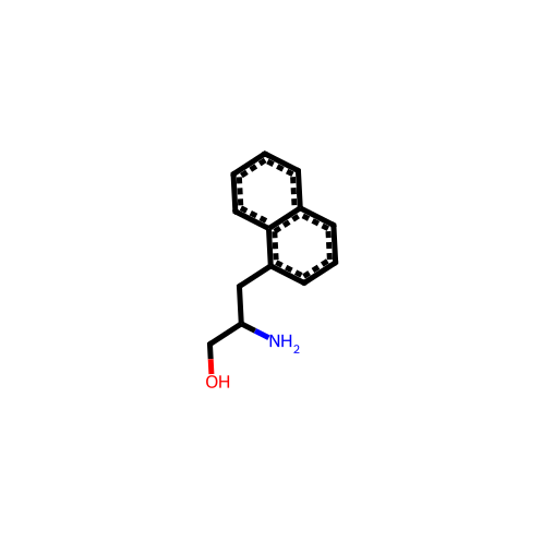 NC(CO)Cc1cccc2ccccc12